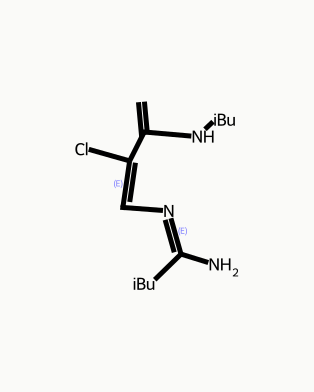 C=C(NC(C)CC)/C(Cl)=C\N=C(\N)C(C)CC